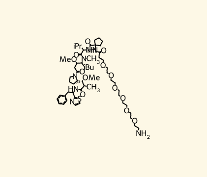 CCC(C)C(C(CC(=O)N1CCC[C@H]1C(OC)C(C)C(=O)NC(Cc1ccccc1)c1nccs1)OC)N(C)C(=O)C(NC(=O)C1(NC(=O)CCOCCOCCOCCOCCOCCOCCN)CCCC1)C(C)C